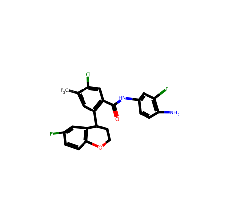 Nc1ccc(NC(=O)c2cc(Cl)c(C(F)(F)F)cc2C2CCOc3ccc(F)cc32)cc1F